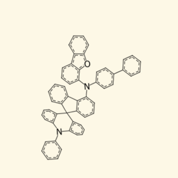 c1ccc(-c2ccc(N(c3cccc4c3-c3ccccc3C43c4ccccc4N(c4ccccc4)c4ccccc43)c3cccc4c3oc3ccccc34)cc2)cc1